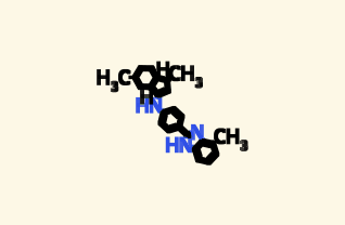 Cc1cccc2[nH]c(-c3ccc(NC4=CC(C)[C@@H]5CC[C@@H](C)C[C@@H]45)cc3)nc12